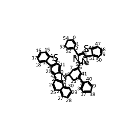 C1=CC(c2nc(C3=CC(n4c5cc6sc7ccccc7c6cc5c5ccc6ccccc6c54)CC(c4ccccc4)=C3)nc3c2sc2ccccc23)=CCC1